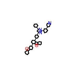 c1ccc(-c2cc(-c3ccc(-c4ccc(-c5ccc6c(c5)oc5ccccc56)c5oc6ccccc6c45)cc3)nc(-c3cccc(-c4ccncc4)c3)n2)cc1